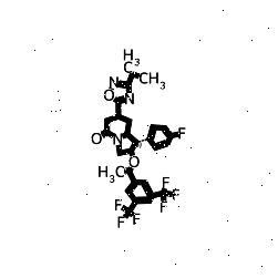 CC(C)c1noc(C2CC(=O)N3CC(O[C@H](C)c4cc(C(F)(F)F)cc(C(F)(F)F)c4)[C@@H](c4ccc(F)cc4)C3C2)n1